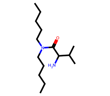 CCCCCN(CCCCC)C(=O)C(N)C(C)C